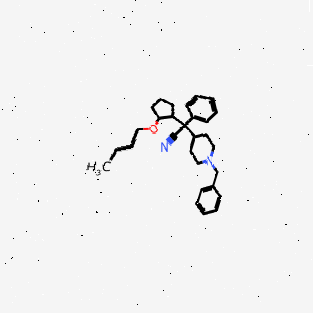 CCCCOC1CCCC1C(C#N)(c1ccccc1)C1CCN(Cc2ccccc2)CC1